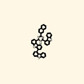 c1ccc2cc(C3=NC(c4cccc5oc6c(-c7cccc8sc9ccccc9c78)cccc6c45)NC(c4cccc5sc6ccccc6c45)=N3)ccc2c1